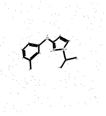 Cc1cccc(Oc2ccn(C(C)C)n2)c1